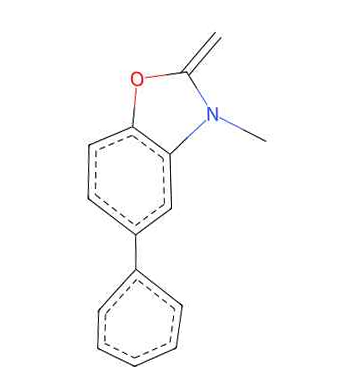 C=C1Oc2ccc(-c3ccccc3)cc2N1C